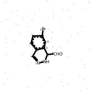 O=CC1NN=Cc2ccc(Br)cc21